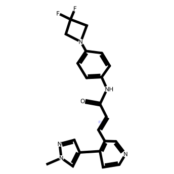 Cn1cc(-c2ccncc2/C=C/C(=O)Nc2ccc(N3CC(F)(F)C3)cc2)cn1